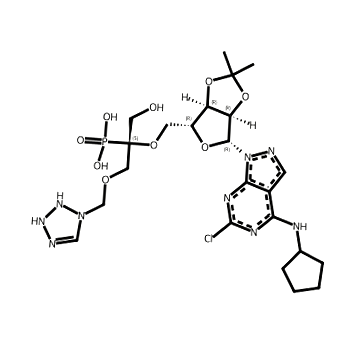 CC1(C)O[C@@H]2[C@H](O1)[C@@H](CO[C@](CO)(COCN1C=NNN1)P(=O)(O)O)O[C@H]2n1ncc2c(NC3CCCC3)nc(Cl)nc21